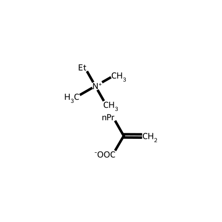 C=C(CCC)C(=O)[O-].CC[N+](C)(C)C